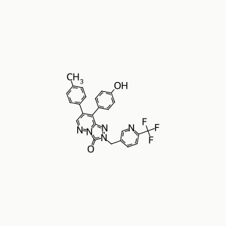 Cc1ccc(-c2cnn3c(=O)n(Cc4ccc(C(F)(F)F)nc4)nc3c2-c2ccc(O)cc2)cc1